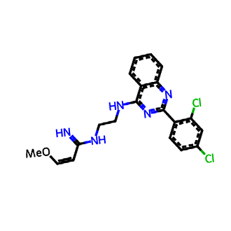 CO/C=C\C(=N)NCCNc1nc(-c2ccc(Cl)cc2Cl)nc2ccccc12